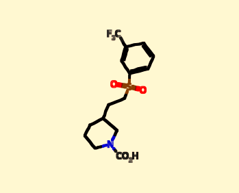 O=C(O)N1CCCC(CCS(=O)(=O)c2cccc(C(F)(F)F)c2)C1